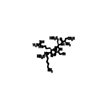 CC(C)C[C@H](NC(=O)[C@H](CCC(=O)O)NC(=O)[C@@H](N)CC(=O)O)C(=O)N[C@@H](CCCNC(=N)N)C(=O)N[C@H](CCCCN)C(=O)O